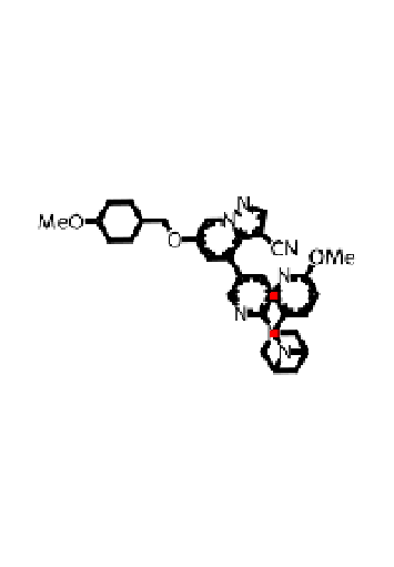 COc1ccc(CN2C3CC2CN(c2ccc(-c4cc(OCC5CCC(OC)CC5)cn5ncc(C#N)c45)cn2)C3)cn1